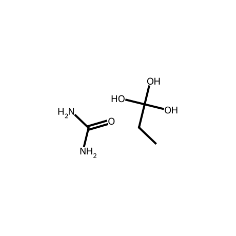 CCC(O)(O)O.NC(N)=O